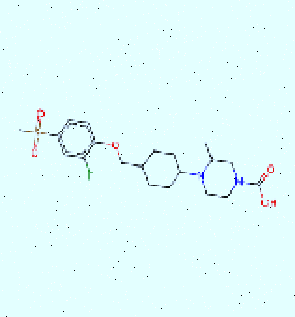 CC1CN(C(=O)O)CCN1C1CCC(COc2ccc(S(C)(=O)=O)cc2F)CC1